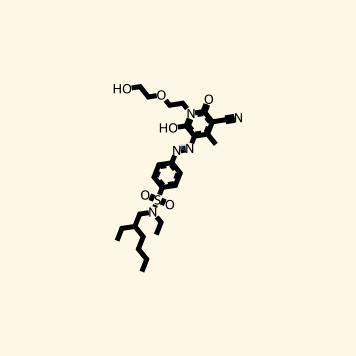 CCCCC(CC)CN(CC)S(=O)(=O)c1ccc(/N=N/c2c(C)c(C#N)c(=O)n(CCOCCO)c2O)cc1